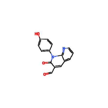 O=Cc1cc2cccnc2n(-c2ccc(O)cc2)c1=O